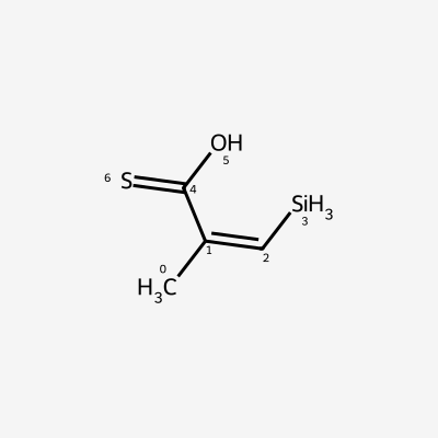 CC(=C[SiH3])C(O)=S